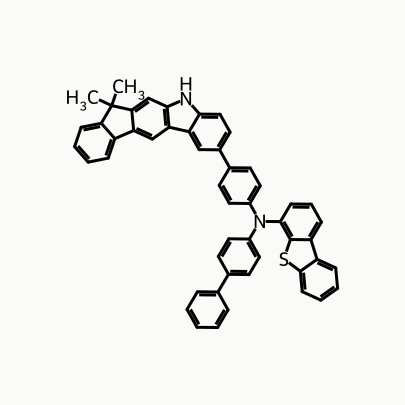 CC1(C)c2ccccc2-c2cc3c(cc21)[nH]c1ccc(-c2ccc(N(c4ccc(-c5ccccc5)cc4)c4cccc5c4sc4ccccc45)cc2)cc13